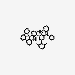 Cc1cccc(C)c1-c1cc(-c2cccc3c2Nc2ccccc2C3(c2ccccc2)c2ccccc2)c2c(c1)N(c1ccccc1)c1ccccc1B2